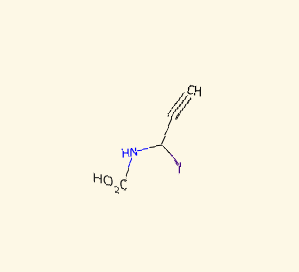 C#CC(I)NC(=O)O